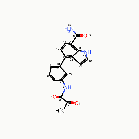 CC(=O)C(=O)Nc1cccc(-c2ccc(C(N)=O)c3[nH]ccc23)c1